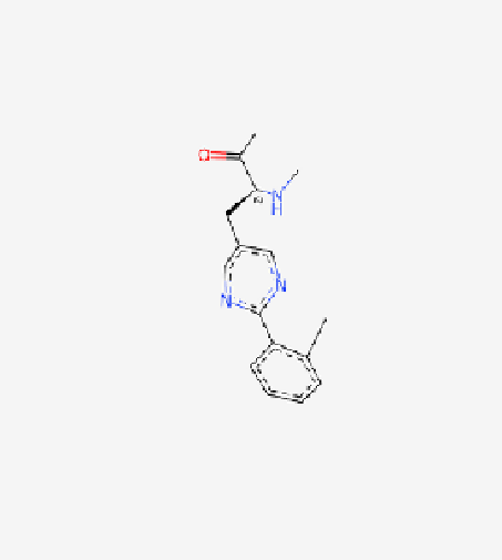 CN[C@@H](Cc1cnc(-c2ccccc2C)nc1)C(C)=O